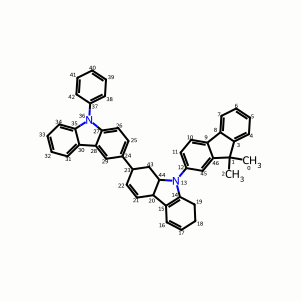 CC1(C)c2ccccc2-c2ccc(N3C4=C(C=CCC4)C4C=CC(c5ccc6c(c5)c5ccccc5n6-c5ccccc5)CC43)cc21